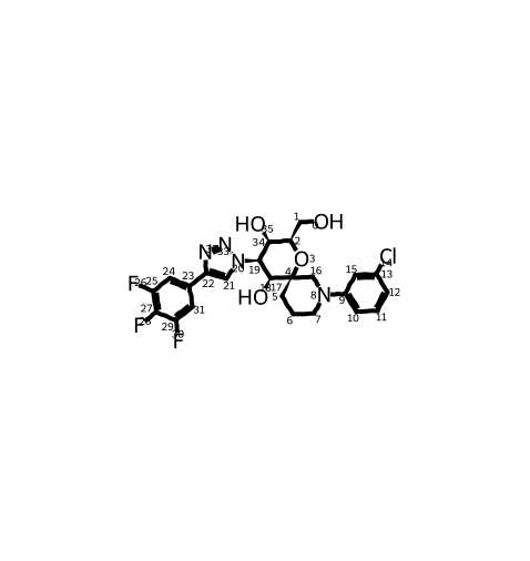 OC[C@H]1O[C@@]2(CCCN(c3cccc(Cl)c3)C2)[C@@H](O)[C@@H](n2cc(-c3cc(F)c(F)c(F)c3)nn2)[C@H]1O